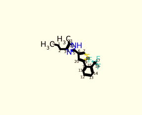 CCCc1nc(-c2csc(-c3ccccc3C(F)(F)F)c2)[nH]c1C